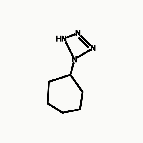 C1CCC(n2nn[nH]2)CC1